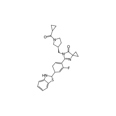 O=C(C1CC1)N1CC[C@@H](CN2C(=O)C3(CC3)N=C2C2=CCC(C3Nc4ccccc4S3)C=C2F)C1